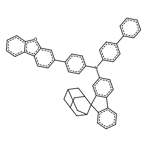 c1ccc(-c2ccc(N(c3ccc(-c4ccc5c(c4)oc4ccccc45)cc3)c3ccc4c(c3)C3(c5ccccc5-4)C4CC5CC(C4)CC3C5)cc2)cc1